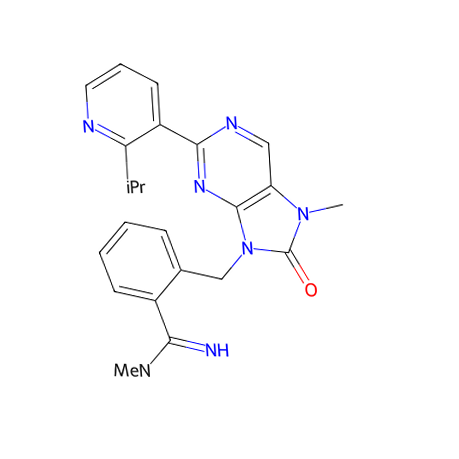 CNC(=N)c1ccccc1Cn1c(=O)n(C)c2cnc(-c3cccnc3C(C)C)nc21